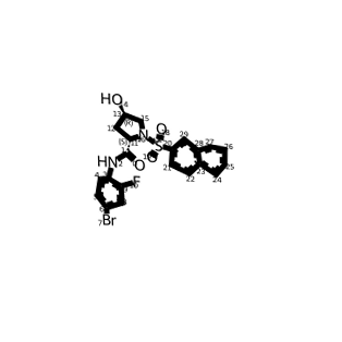 O=C(Nc1ccc(Br)cc1F)[C@@H]1C[C@@H](O)CN1S(=O)(=O)c1ccc2ccccc2c1